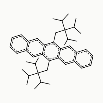 CC(C)C(Cc1c2cc3ccccc3cc2c(CC(C(C)C)(C(C)C)C(C)C)c2cc3ccccc3cc12)(C(C)C)C(C)C